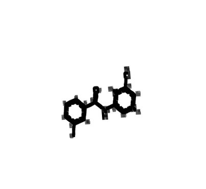 Cc1cccc(C(=O)Nc2cncc(Cl)n2)c1